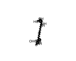 O=CO[N+]1(c2cccc(CCCCOCCCCCCNC[C@@H](O)c3ccc(O)c(CO)c3)c2)CC(=O)NC1=O